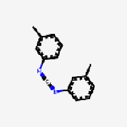 Cc1cccc(N=C=Nc2cccc(C)c2)c1